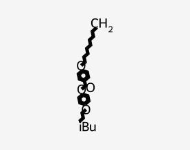 C=CCCCCCCCCOc1ccc(C(=O)Oc2ccc(OCCC[C@@H](C)CC)cc2)cc1